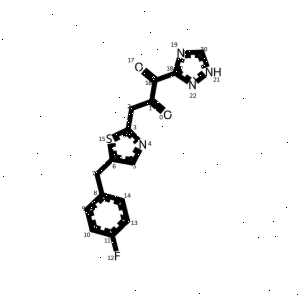 O=C(Cc1ncc(Cc2ccc(F)cc2)s1)C(=O)c1nc[nH]n1